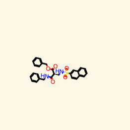 O=C(NCc1ccccc1)[C@H](CNS(=O)(=O)c1ccc2ccccc2c1)C(=O)OCc1ccccc1